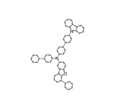 c1ccc(-c2ccc(N(c3ccc(-c4ccc(-n5c6ccccc6c6ccccc65)cc4)cc3)c3ccc4oc5c(-c6ccccc6)cccc5c4c3)cc2)cc1